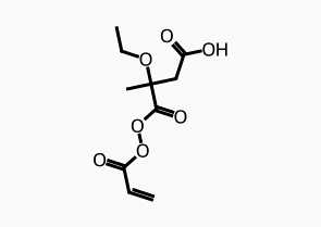 C=CC(=O)OOC(=O)C(C)(CC(=O)O)OCC